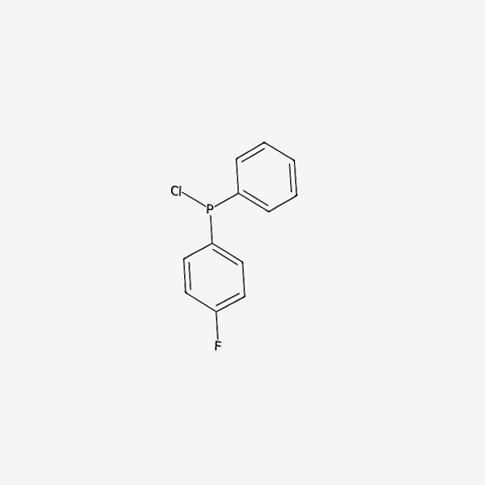 Fc1ccc(P(Cl)c2ccccc2)cc1